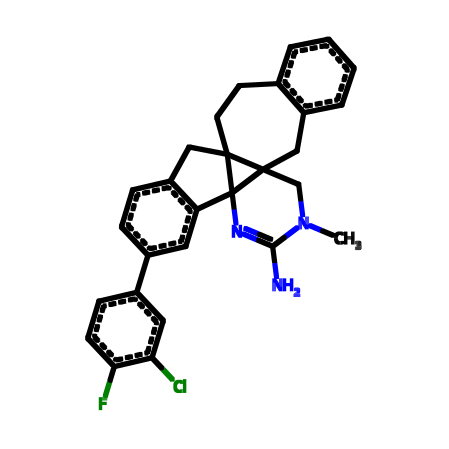 CN1CC23Cc4ccccc4CCC24Cc2ccc(-c5ccc(F)c(Cl)c5)cc2C43N=C1N